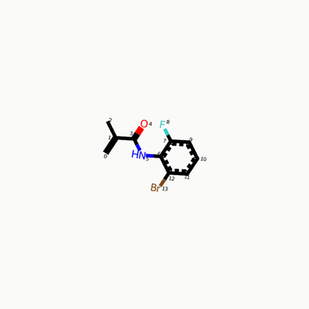 C=C(C)C(=O)Nc1c(F)cccc1Br